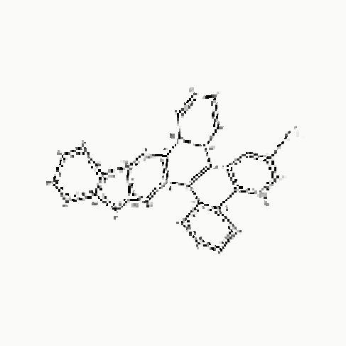 Cc1ccc(-c2ccccc2C2=CN3C=CC=CC3c3cc4c(cc32)sc2ccccc24)nc1